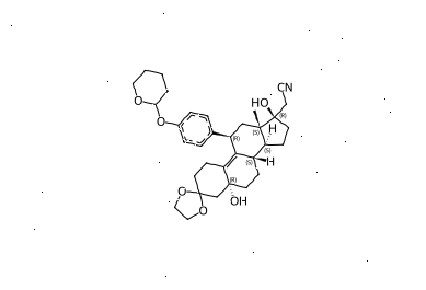 C[C@]12C[C@H](c3ccc(OC4CCCCO4)cc3)C3=C4CCC5(C[C@]4(O)CC[C@H]3[C@@H]1CC[C@@]2(O)CC#N)OCCO5